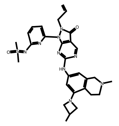 C=CCn1c(=O)c2cnc(Nc3cc4c(c(N5CC(C)C5)c3)CCN(C)C4)nc2n1-c1cccc(N=S(C)(C)=O)n1